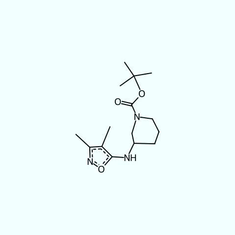 Cc1noc(NC2CCCN(C(=O)OC(C)(C)C)C2)c1C